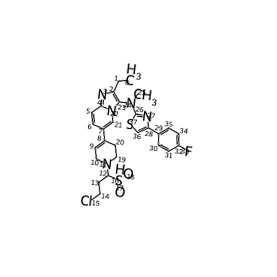 CCc1nc2ccc(C3=CCN(C(CCCl)[SH](=O)=O)CC3)cn2c1N(C)c1nc(-c2ccc(F)cc2)cs1